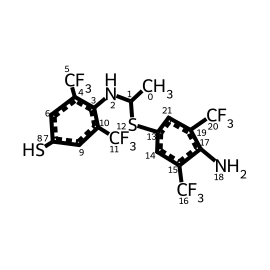 CC(Nc1c(C(F)(F)F)cc(S)cc1C(F)(F)F)Sc1cc(C(F)(F)F)c(N)c(C(F)(F)F)c1